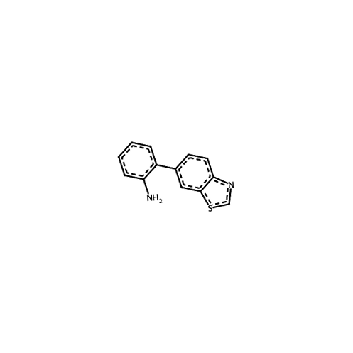 Nc1ccccc1-c1ccc2ncsc2c1